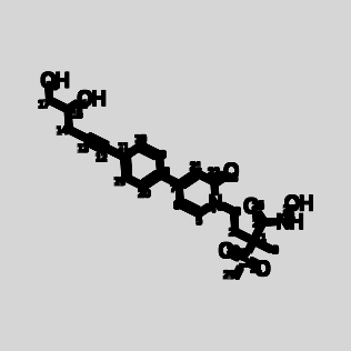 CC(CCn1ccc(-c2ccc(C#CCC(O)CO)cc2)cc1=O)(C(=O)NO)S(C)(=O)=O